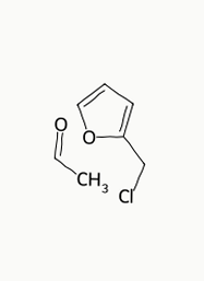 CC=O.ClCc1ccco1